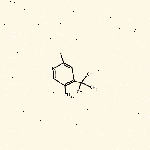 Cc1cnc(F)cc1C(C)(C)C